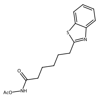 CC(=O)ONC(=O)CCCCCc1nc2ccccc2s1